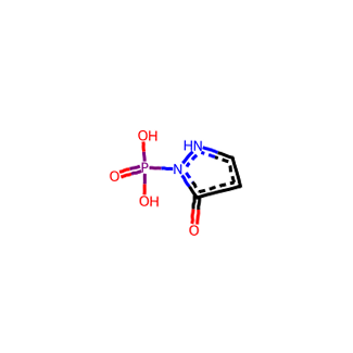 O=c1cc[nH]n1P(=O)(O)O